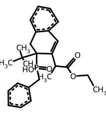 CCOC(=O)C(C)C1=Cc2ccccc2CC1(C(C)(C)C)P(=O)(O)Cc1ccccc1